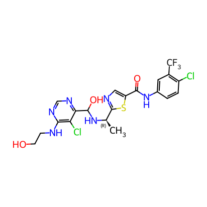 C[C@@H](NC(O)c1ncnc(NCCO)c1Cl)c1ncc(C(=O)Nc2ccc(Cl)c(C(F)(F)F)c2)s1